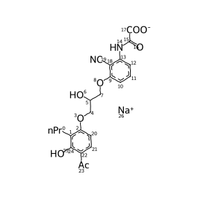 CCCc1c(OCC(O)COc2cccc(NC(=O)C(=O)[O-])c2C#N)ccc(C(C)=O)c1O.[Na+]